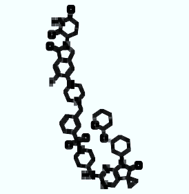 O=C1CCC(N2Cc3cc(N4CCN(Cc5cccc(S(=O)(=O)N6CCC(Nc7ncc8c(n7)N([C@@H]7CCC[C@@H](OC9CCCCO9)C7)C(=O)C87CC7)CC6)c5)CC4)c(F)cc3C2=O)C(=O)N1